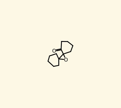 O=C1CCCCC12OC21CCCCC1